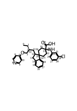 CC[C@H](COc1ccncc1)CC1Cc2ccccc2C12CCC(Nc1cccc(Cl)c1)(C(=O)O)CC2